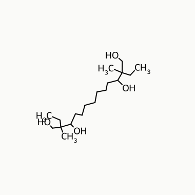 CCC(C)(CO)C(O)CCCCCCCC(O)C(C)(CC)CO